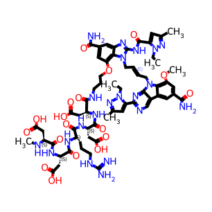 CCn1nc(C)cc1C(=O)Nc1nc2cc(C(N)=O)cc(OCCCNC(=O)[C@H](CC(=O)O)NC(=O)[C@H](CC(=O)O)NC(=O)[C@H](CCCNC(=N)N)NC(=O)[C@H](CC(=O)O)NC(=O)[C@H](CC(=O)O)NC)c2n1C/C=C/Cn1c2nc(-c3cc(C)nn3CC)ncc2c2cc(C(N)=O)cc(OC)c21